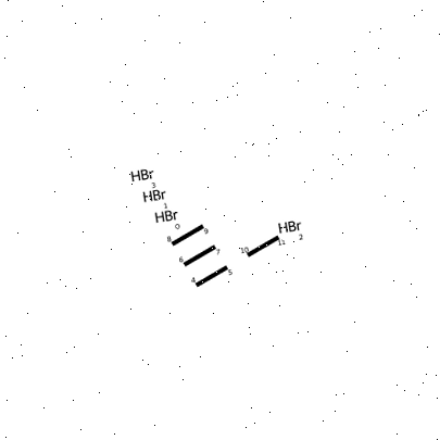 Br.Br.Br.Br.CC.CC.CC.CC